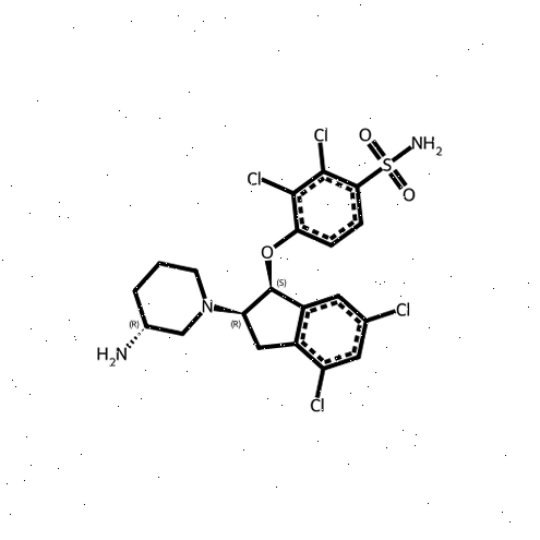 N[C@@H]1CCCN([C@@H]2Cc3c(Cl)cc(Cl)cc3[C@@H]2Oc2ccc(S(N)(=O)=O)c(Cl)c2Cl)C1